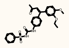 CCOc1cc(C(=CC(C)=O)c2ccc(NC(=O)NS(=O)(=O)c3ccccc3)cc2)ccc1OC